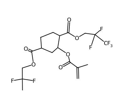 C=C(C)C(=O)OC1CC(C(=O)OCC(C)(F)F)CCC1C(=O)OCC(F)(F)C(F)(F)F